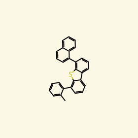 Cc1ccccc1-c1cccc2c1sc1c(-c3cccc4ccccc34)cccc12